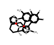 Cc1cccc(C(=O)N2[C@H]3CCC[C@@H]2c2nn(C)c(-c4cc(F)c(F)c(F)c4)c2C3)c1-n1nccn1